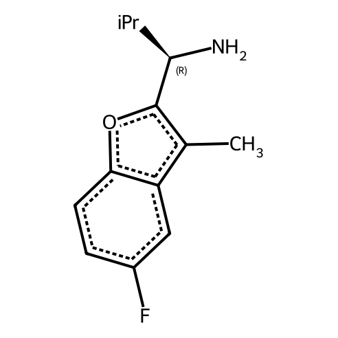 Cc1c([C@H](N)C(C)C)oc2ccc(F)cc12